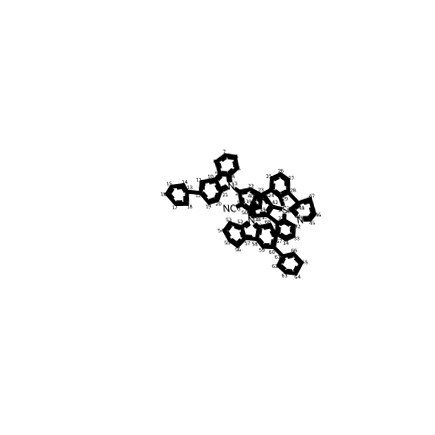 N#Cc1c(-n2c3ccccc3c3cc(-c4ccccc4)ccc32)cc(-c2cccc3c2[Si]2(c4ccccc4-c4ccccc42)c2ncccc2-3)cc1-n1c2ccccc2c2cc(-c3ccccc3)ccc21